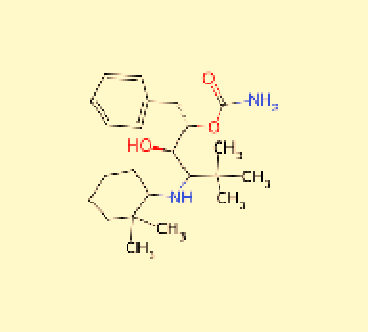 CC(C)(C)C(NC1CCCCC1(C)C)[C@@H](O)[C@H](Cc1ccccc1)OC(N)=O